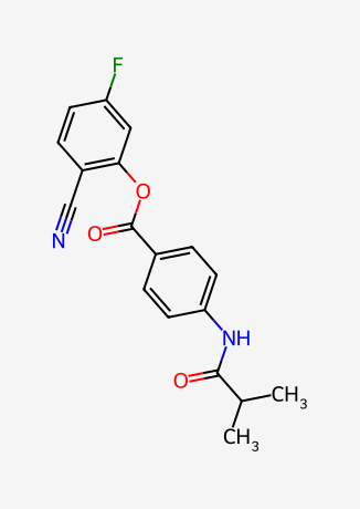 CC(C)C(=O)Nc1ccc(C(=O)Oc2cc(F)ccc2C#N)cc1